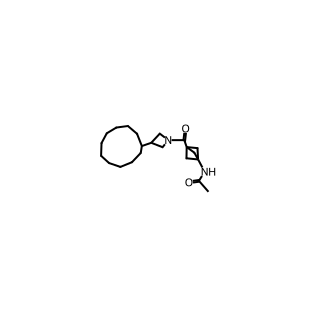 CC(=O)NC12CC(C(=O)N3CC(C4CCCCCCCCCC4)C3)(C1)C2